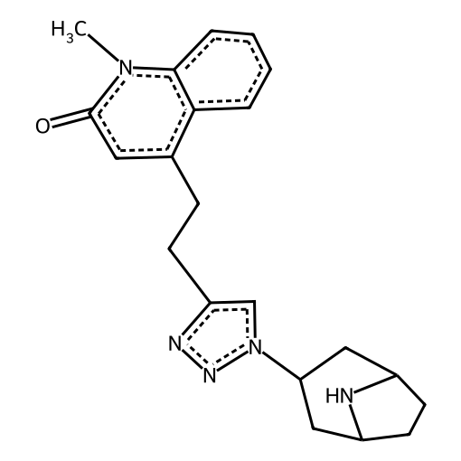 Cn1c(=O)cc(CCc2cn(C3CC4CCC(C3)N4)nn2)c2ccccc21